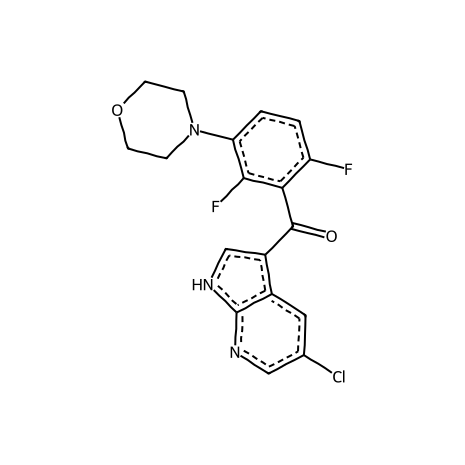 O=C(c1c(F)ccc(N2CCOCC2)c1F)c1c[nH]c2ncc(Cl)cc12